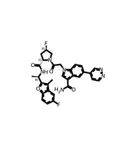 Cc1c([C@@H](C)NC(=O)[C@@H]2C[C@@H](F)CN2C(=O)Cn2cc(C(N)=O)c3cc(-c4ccnnc4)ccc32)oc2ccc(F)cc12